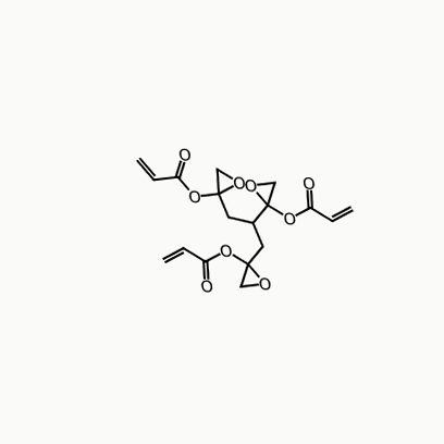 C=CC(=O)OC1(CC(CC2(OC(=O)C=C)CO2)C2(OC(=O)C=C)CO2)CO1